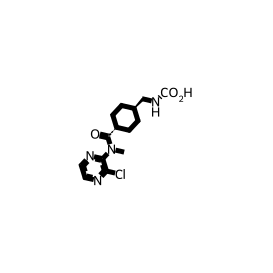 CN(c1nccnc1Cl)C(=O)[C@H]1CC[C@H](CNC(=O)O)CC1